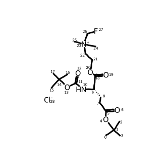 CC(C)(C)OC(=O)CC[C@H](NC(=O)OC(C)(C)C)C(=O)OCC[N+](C)(C)CF.[Cl-]